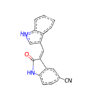 N#Cc1ccc2c(c1)C(=Cc1c[nH]c3ccccc13)C(=O)N2